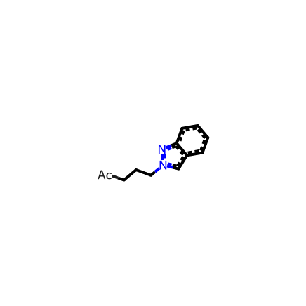 CC(=O)CCCn1cc2ccccc2n1